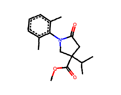 COC(=O)C1(C(C)C)CC(=O)N(c2c(C)cccc2C)C1